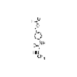 CNCC(=O)Nc1ccc(COC(=O)F)cc1